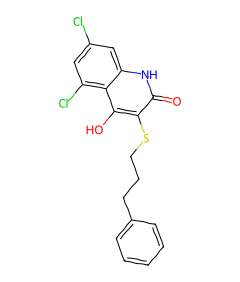 O=c1[nH]c2cc(Cl)cc(Cl)c2c(O)c1SCCCc1ccccc1